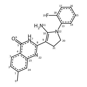 Cc1ccc2c(=O)[nH]c(C3=C(N)N(c4ccccc4F)CC3)nc2c1